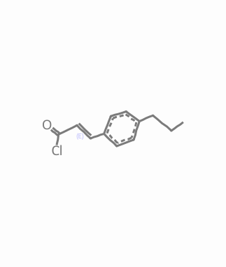 CCCc1ccc(/C=C/C(=O)Cl)cc1